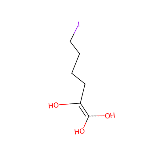 OC(O)=C(O)CCCCI